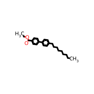 CCCCCCCCCc1ccc(-c2ccc(C(=O)OCC)cc2)cc1